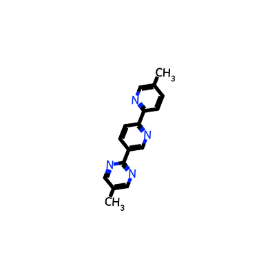 Cc1ccc(-c2ccc(-c3ncc(C)cn3)cn2)nc1